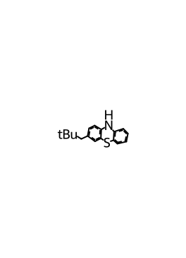 CC(C)(C)Cc1ccc2c(c1)Sc1ccccc1N2